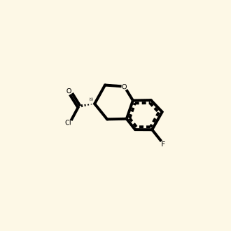 O=C(Cl)[C@@H]1COc2ccc(F)cc2C1